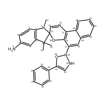 CN1c2ccc(N)cc2C(C)(C)C12C=Nc1c(c(N3NC=C(c4ccccc4)O3)cc3ccccc13)O2